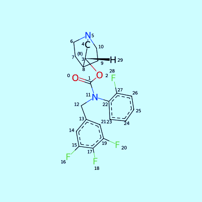 O=C(O[C@H]1CN2CCC1CC2)N(Cc1cc(F)c(F)c(F)c1)c1ccccc1F